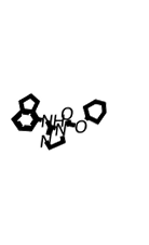 O=C(OC1CCCCC1)N1CCN=C1Nc1cccc2c1CCC2